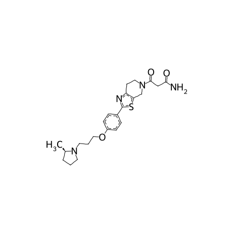 C[C@@H]1CCCN1CCCOc1ccc(-c2nc3c(s2)CN(C(=O)CC(N)=O)CC3)cc1